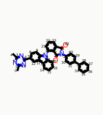 Cc1nc(C)nc(-c2ccc3c(c2)c2ccccc2n3-c2cccc3c2C(=O)N(c2ccc(-c4ccccc4)cc2)C3=O)n1